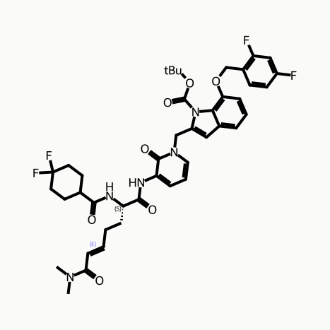 CN(C)C(=O)/C=C/CC[C@H](NC(=O)C1CCC(F)(F)CC1)C(=O)Nc1cccn(Cc2cc3cccc(OCc4ccc(F)cc4F)c3n2C(=O)OC(C)(C)C)c1=O